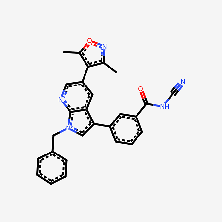 Cc1noc(C)c1-c1cnc2c(c1)c(-c1cccc(C(=O)NC#N)c1)cn2Cc1ccccc1